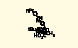 CCCC1CC=C(c2cnc(-c3ccc(C[C@H](NC(=O)c4ccc(C(C)(C)C)s4)C(=O)N[C@H](C)C(=O)O)cc3)nc2)CC1